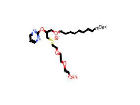 CCCCCCCCCCCCCCCCCCOCC(C[S+]([O-])CCOCCOCCO)Oc1ncccn1